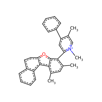 Cc1c[n+](C)c(-c2c(C)cc(C)c3c2oc2ccc4ccccc4c23)cc1-c1ccccc1